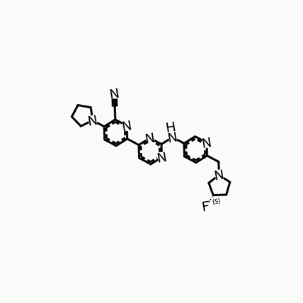 N#Cc1nc(-c2ccnc(Nc3ccc(CN4CC[C@H](F)C4)nc3)n2)ccc1N1CCCC1